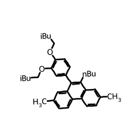 CCCCc1c(-c2ccc(OCC(C)CC)c(OCC(C)CC)c2)c2cc(C)ccc2c2ccc(C)cc12